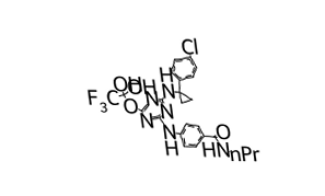 CCCNC(=O)c1ccc(Nc2nc(NC3(c4ccc(Cl)cc4)CC3)nc(OC(O)(O)C(F)(F)F)n2)cc1